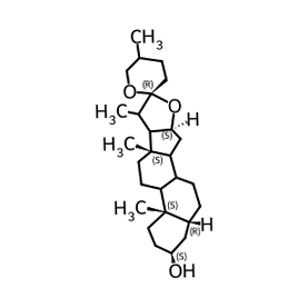 CC1CC[C@@]2(OC1)O[C@H]1CC3C4CC[C@@H]5C[C@@H](O)CC[C@]5(C)C4CC[C@]3(C)C1C2C